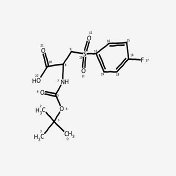 CC(C)(C)OC(=O)NC(CS(=O)(=O)c1ccc(F)cc1)C(=O)O